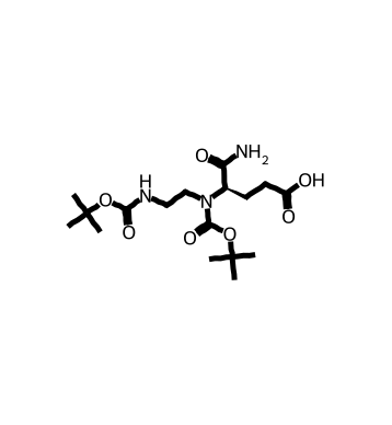 CC(C)(C)OC(=O)NCCN(C(=O)OC(C)(C)C)[C@H](CCC(=O)O)C(N)=O